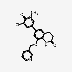 Cn1cc(-c2cc3c(c(OCc4cccnc4)c2)NC(=O)CC3)cc(Cl)c1=O